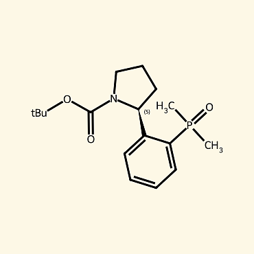 CC(C)(C)OC(=O)N1CCC[C@H]1c1ccccc1P(C)(C)=O